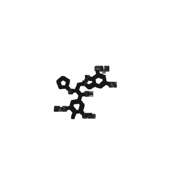 COc1cc(C(O)C(Cn2cc3cc(C#N)cc(C(=O)O)c3n2)OC2CCCC2)cc(OC)c1C